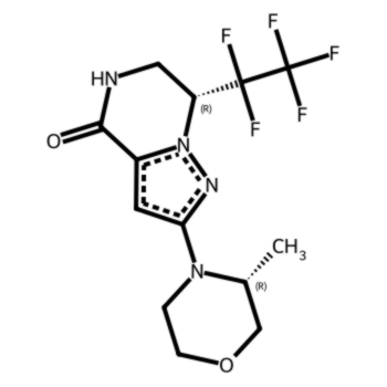 C[C@@H]1COCCN1c1cc2n(n1)[C@@H](C(F)(F)C(F)(F)F)CNC2=O